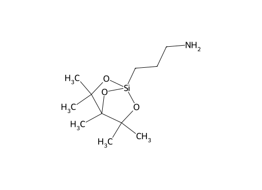 CC1(C)O[Si]2(CCCN)OC(C)(C)C1(C)O2